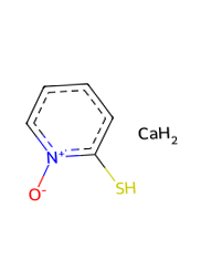 [CaH2].[O-][n+]1ccccc1S